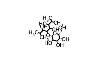 CC(C)C(O)C(O)C(O[C@@H]1O[C@H](CO)[C@H](O)[C@H](O)[C@H]1O)C(O)C(C)C